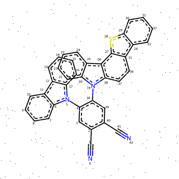 N#Cc1cc(-n2c3ccccc3c3ccccc32)c(-n2c3ccccc3c3c4sc5ccccc5c4ccc32)cc1C#N